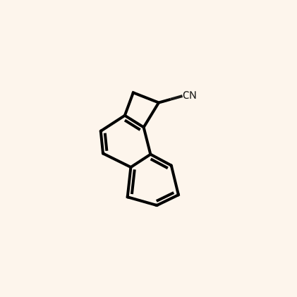 N#CC1Cc2ccc3ccccc3c21